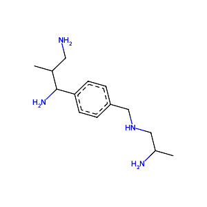 CC(N)CNCc1ccc(C(N)C(C)CN)cc1